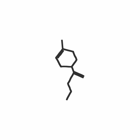 C=C(CCC)C1CC=C(C)CC1